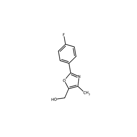 Cc1nc(-c2ccc(F)cc2)oc1CO